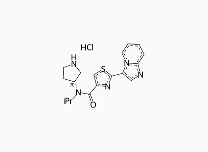 CC(C)N(C(=O)c1csc(-c2cnc3ccccn23)n1)[C@@H]1CCNC1.Cl